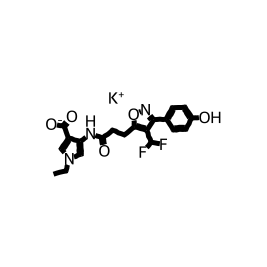 CCn1cc(NC(=O)CCc2onc(-c3ccc(O)cc3)c2C(F)F)c(C(=O)[O-])c1.[K+]